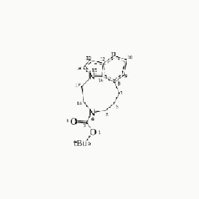 CC(C)(C)OC(=O)N1CCCc2cccc3ccn(c23)CC1